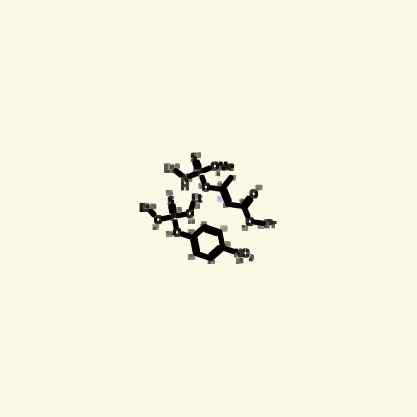 CCNP(=S)(OC)O/C(C)=C/C(=O)OC(C)C.CCOP(=S)(OCC)Oc1ccc([N+](=O)[O-])cc1